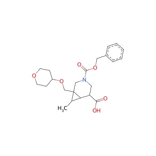 CC1C2C(C(=O)O)CN(C(=O)OCc3ccccc3)CC12COC1CCOCC1